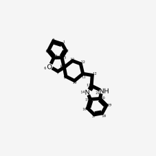 c1ccc2c(c1)OCC21CCC(Cc2nc3ccccc3[nH]2)CC1